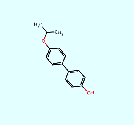 CC(C)Oc1ccc(-c2ccc(O)cc2)cc1